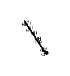 NCCNCCNCCNCCNCCNCCNCCNC(=O)CCCCCNC(=O)OCc1ccccc1Cl